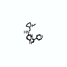 CCN1CCCC1CNc1ccc2ncc(-c3ccncc3)n2n1